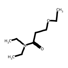 CCOCCC(=O)N(CC)CC